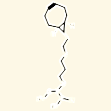 CCCOP(OCCCSCC[C@H]1[C@@H]2CCC#CCC[C@@H]21)N(C(C)C)C(C)C